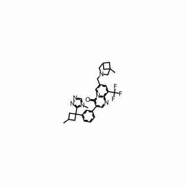 CC1CC(c2cccc(-c3cnc4c(C(F)(F)F)cc(CN5CC6CC(C)(C6)C5)cn4c3=O)c2)(c2nncn2C)C1